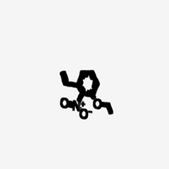 C=Cc1cccc(OCC)c1[N+](=O)[O-]